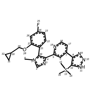 Cn1cnc(-c2cc(-c3nn[nH]c3S(C)(C)C)ccn2)c1-c1ccc(F)cc1OCC1CC1